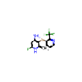 C=C1NC(F)=CC(N)=C1Sc1cccnc1C(F)(F)F